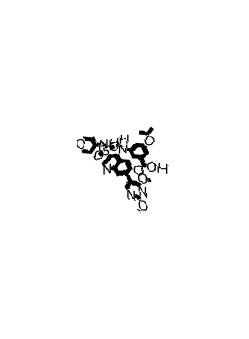 COc1ncc(-c2ccc3c(Nc4cc(OC(C)C)cc(C(=O)O)c4)c(S(=O)(=O)NC4CCOCC4)cnc3c2)c(OC)n1